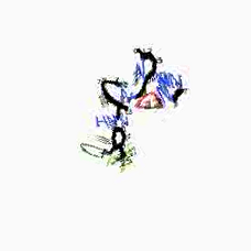 Cc1ccc(-n2nccn2)c(C(=O)N2CCCC2(C)c2nc3cc(C(F)(F)F)c(Cl)cc3[nH]2)n1